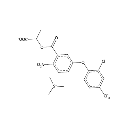 CC(OC(=O)c1cc(Oc2ccc(C(F)(F)F)cc2Cl)ccc1[N+](=O)[O-])C(=O)[O-].C[S+](C)C